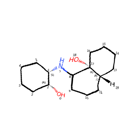 O[C@@H]1CCCC[C@@H]1NC1CCC[C@H]2CCCC[C@]12O